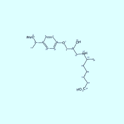 COC(C)c1ccc(OCC(O)CNC(C)CCCCC(=O)O)cc1